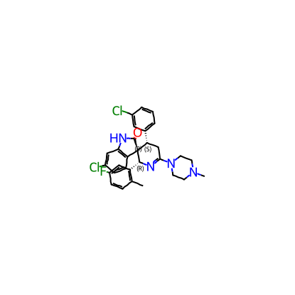 Cc1ccc(F)cc1[C@H]1N=C(N2CCN(C)CC2)C[C@@H](c2cccc(Cl)c2)[C@]12C(=O)Nc1cc(Cl)ccc12